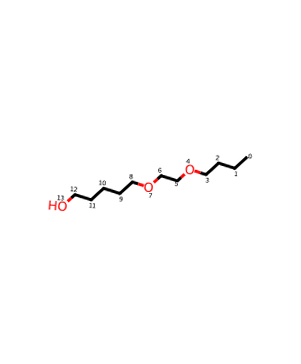 CCCCOCCOCCCCCO